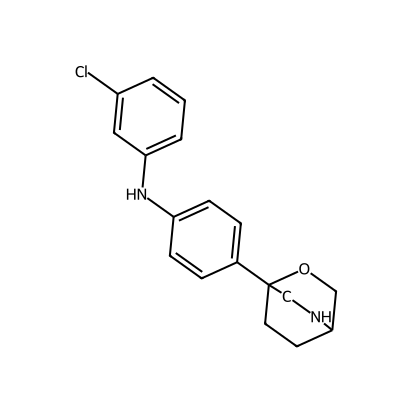 Clc1cccc(Nc2ccc(C34CCC(CO3)NC4)cc2)c1